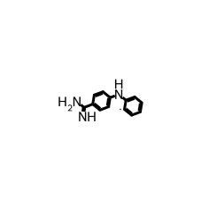 N=C(N)c1ccc(Nc2[c]cccc2)cc1